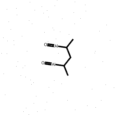 C[CH](C[CH](C)[Al]=[O])[Al]=[O]